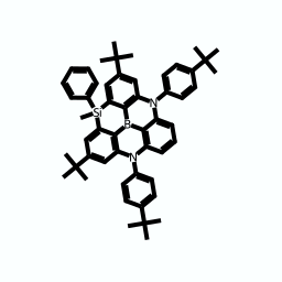 CC(C)(C)c1ccc(N2c3cccc4c3B3c5c2cc(C(C)(C)C)cc5[Si](C)(c2ccccc2)c2cc(C(C)(C)C)cc(c23)N4c2ccc(C(C)(C)C)cc2)cc1